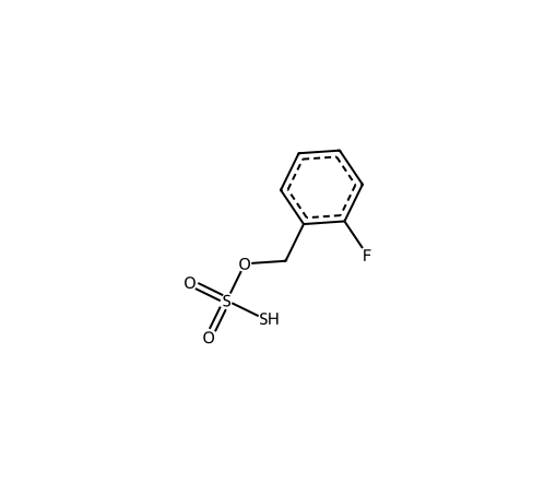 O=S(=O)(S)OCc1ccccc1F